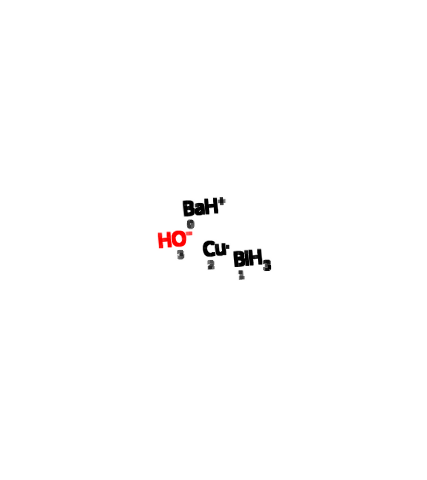 [BaH+].[BiH3].[Cu].[OH-]